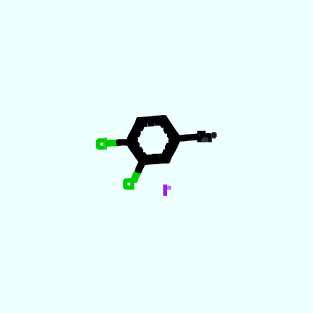 Clc1cc[c]([Zn+])cc1Cl.[I-]